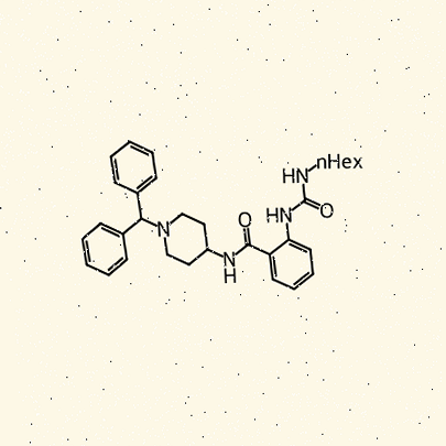 CCCCCCNC(=O)Nc1ccccc1C(=O)NC1CCN(C(c2ccccc2)c2ccccc2)CC1